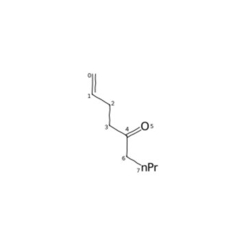 C=CCCC(=O)CCCC